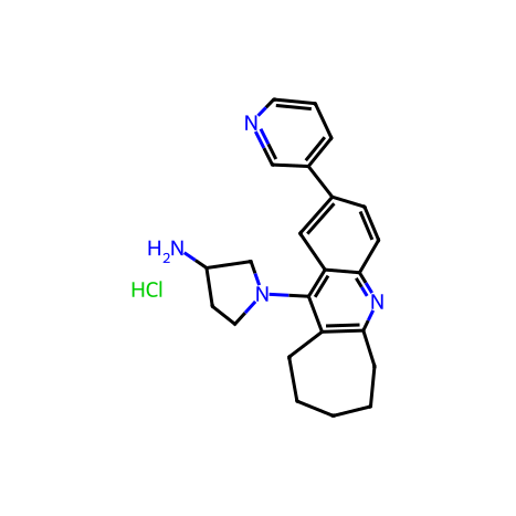 Cl.NC1CCN(c2c3c(nc4ccc(-c5cccnc5)cc24)CCCCC3)C1